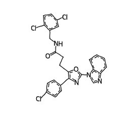 O=C(CCc1oc(-n2cnc3ccccc32)nc1-c1ccc(Cl)cc1)NCc1cc(Cl)ccc1Cl